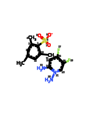 Cc1cc(C)c(S(=O)(=O)[O-])c(C)c1.Nc1cc(F)c(F)c[n+]1N